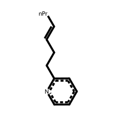 CCC/C=C/CCc1ccccn1